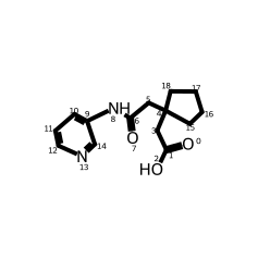 O=C(O)CC1(CC(=O)Nc2cccnc2)CCCC1